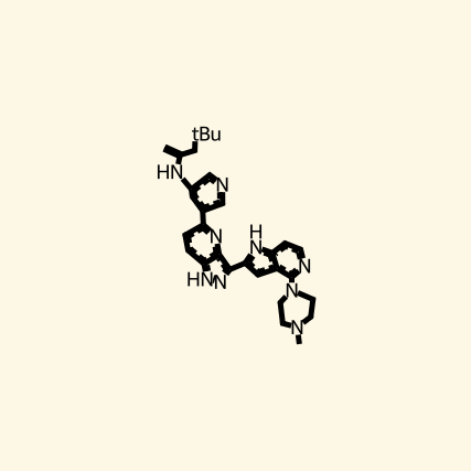 C=C(CC(C)(C)C)Nc1cncc(-c2ccc3[nH]nc(-c4cc5c(N6CCN(C)CC6)nccc5[nH]4)c3n2)c1